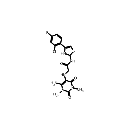 Cn1c(N)c(NCC(=O)NC2NC(c3ccc(F)cc3Cl)=CS2)c(=O)n(C)c1=O